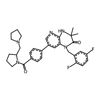 CC1(C)Nc2ncc(-c3ccc(C(=O)N4CCCC4CN4CCCC4)cc3)cc2N(Cc2cc(F)ccc2F)C1=O